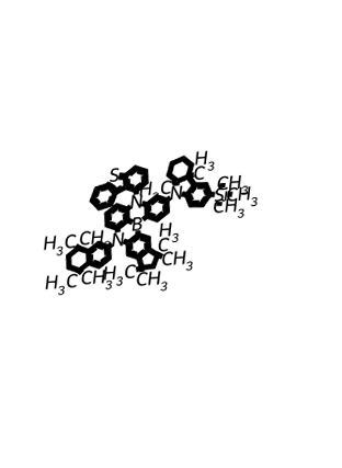 CC1(C)CCC(C)(C)c2cc(N3c4cc5c(cc4B4c6ccc(N7c8ccc([Si](C)(C)C)cc8C8(C)CCCCC78C)cc6N(c6cccc7sc8ccccc8c67)c6cccc3c64)C(C)(C)CC5(C)C)ccc21